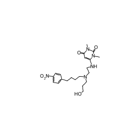 Cn1c(NCCN(CCCO)CCCCc2ccc([N+](=O)[O-])cc2)cc(=O)n(C)c1=O